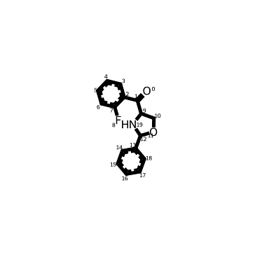 O=C(c1ccccc1F)C1COC(c2ccccc2)N1